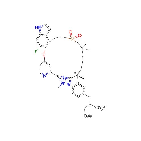 COCC(Cc1cccc([C@@]2(C)CCCC(C)(C)CS(=O)(=O)CCc3c(c(F)cc4[nH]ccc34)Oc3ccnc(c3)-c3nc2nn3C)c1)C(=O)O